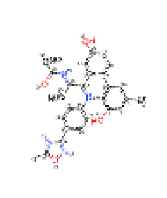 CCc1cc(O)cc(-c2ccc(O)cc2C(=Nc2ccc(-c3noc(C)n3)cc2)C(=NC(=O)OC)SC)c1